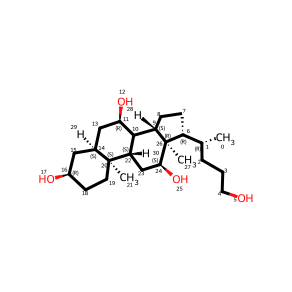 C[C@H](CCCO)[C@H]1CC[C@H]2C3[C@H](O)C[C@@H]4C[C@H](O)CC[C@]4(C)[C@H]3C[C@H](O)[C@]12C